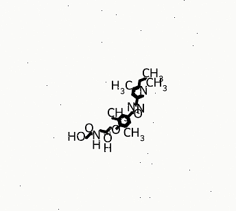 CCc1cc(-c2nc(-c3cnc(CC(C)C)c(C)c3)no2)cc(C)c1OC[C@@H](O)CNC(=O)CO